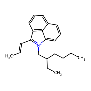 C/C=C/C1=[N+](CC(CC)CCCC)c2cccc3cccc1c23